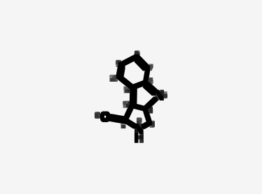 O=C1NCC2N=c3ccccc3=C12